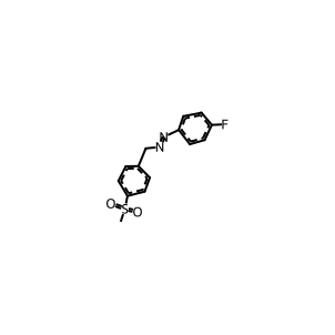 CS(=O)(=O)c1ccc(C/N=N/c2ccc(F)cc2)cc1